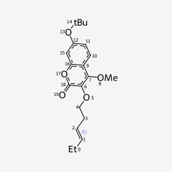 CC/C=C/CCOc1c(OC)c2ccc(OC(C)(C)C)cc2oc1=O